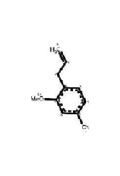 C=CCc1ccc(C#N)cc1OC